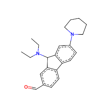 CCN(CC)C1c2cc(C=O)ccc2-c2ccc(N3CCCCC3)cc21